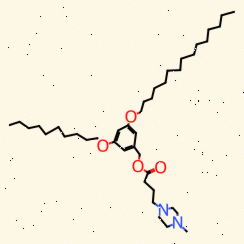 CCCCCCCCCCCCCCCOc1cc(COC(=O)CCCN2CCN(C)CC2)cc(OCCCCCCCCCC)c1